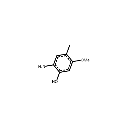 COc1cc(O)c(N)cc1C